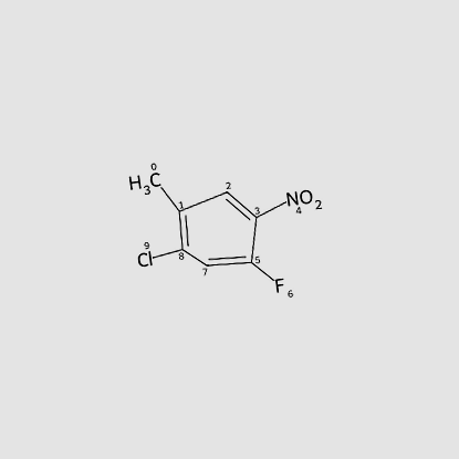 Cc1cc([N+](=O)[O-])c(F)cc1Cl